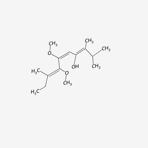 CC/C(C)=C(OC)/C(=C\C(O)=C(/C)C(C)C)OC